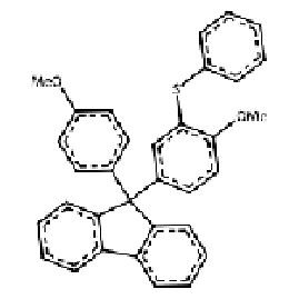 COc1ccc(C2(c3ccc(OC)c(Sc4ccccc4)c3)c3ccccc3-c3ccccc32)cc1